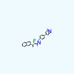 C=C(/C(F)=C(\C)N(C)Cc1ccc(-c2ccnc(C)c2)cc1)c1ccc2ccccc2c1